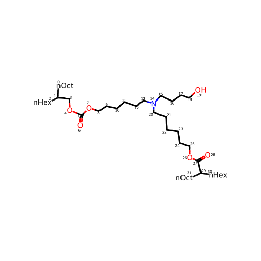 CCCCCCCCC(CCCCCC)COC(=O)OCCCCCCN(CCCCO)CCCCCCOC(=O)C(CCCCCC)CCCCCCCC